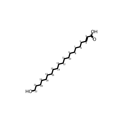 O=C(O)C=CCCCCCCCCCCCCCCCCCCO